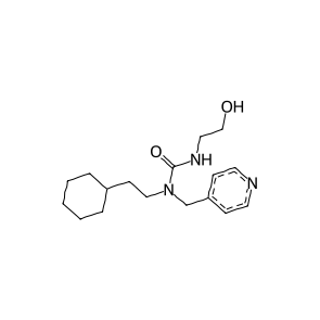 O=C(NCCO)N(CCC1CCCCC1)Cc1ccncc1